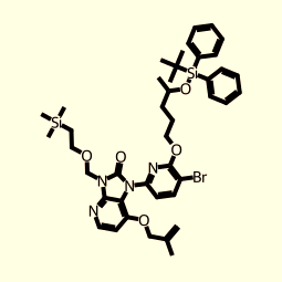 C=C(C)COc1ccnc2c1n(-c1ccc(Br)c(OCCCC(C)O[Si](c3ccccc3)(c3ccccc3)C(C)(C)C)n1)c(=O)n2COCC[Si](C)(C)C